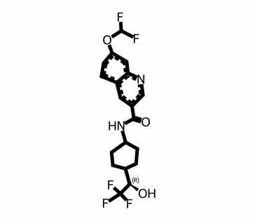 O=C(NC1CCC([C@@H](O)C(F)(F)F)CC1)c1cnc2cc(OC(F)F)ccc2c1